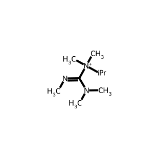 CN=C(N(C)C)[N+](C)(C)C(C)C